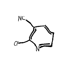 N#Cc1[c]ccnc1Cl